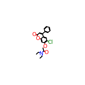 CCN(CC)C(=O)COc1cc2oc(=O)cc(-c3ccccc3)c2cc1Cl